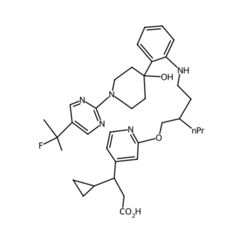 CCCC(CCNc1ccccc1C1(O)CCN(c2ncc(C(C)(C)F)cn2)CC1)COc1cc(C(CC(=O)O)C2CC2)ccn1